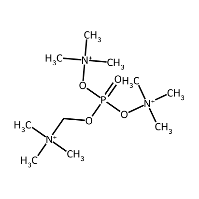 C[N+](C)(C)COP(=O)(O[N+](C)(C)C)O[N+](C)(C)C